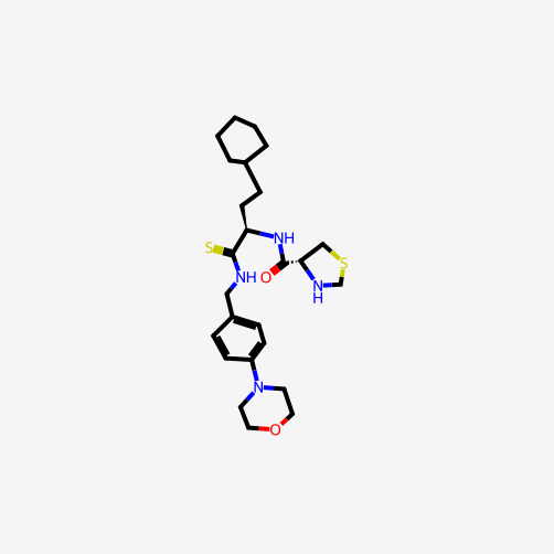 O=C(N[C@H](CCC1CCCCC1)C(=S)NCc1ccc(N2CCOCC2)cc1)[C@@H]1CSCN1